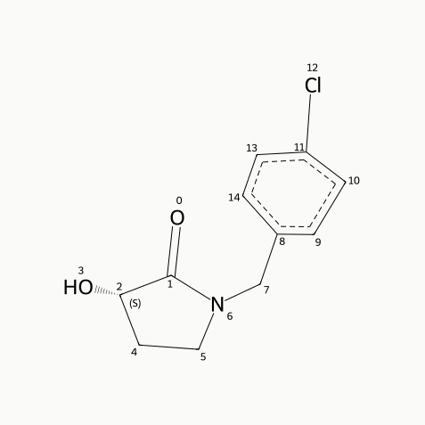 O=C1[C@@H](O)CCN1Cc1ccc(Cl)cc1